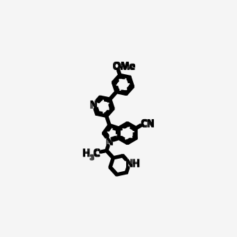 COc1cccc(-c2cncc(-c3cn(C(C)C4CCCNC4)c4ccc(C#N)cc34)c2)c1